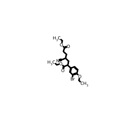 CCOC(=O)CCC(C#N)CC(C(=O)OCC)c1ccc(OCC)c(Br)c1